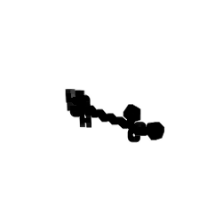 O=C(OCc1ccccc1)C(CCCCCCCCNS(=O)(=O)C(F)(F)F)C1CCCC1